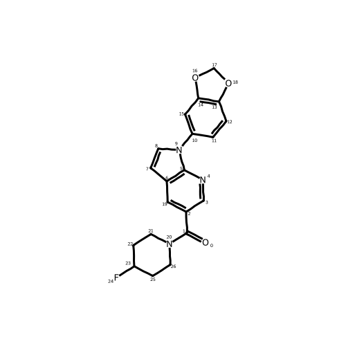 O=C(c1cnc2c(ccn2-c2ccc3c(c2)OCO3)c1)N1CCC(F)CC1